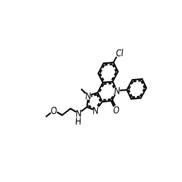 COCCNc1nc2c(=O)n(-c3ccccc3)c3cc(Cl)ccc3c2n1C